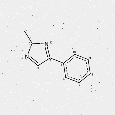 CC1N=CC(c2ccccc2)=N1